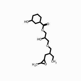 CCC(COCC(O)COC(=O)C1CCCC(O)C1)CC1OC1C